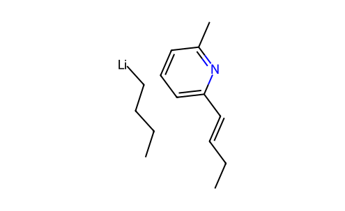 CCC=Cc1cccc(C)n1.[Li][CH2]CCC